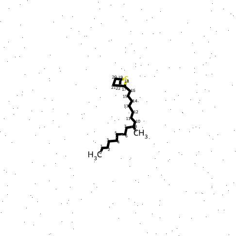 CCCCCCCCC(C)CCCCCCCC1SC2CCC12